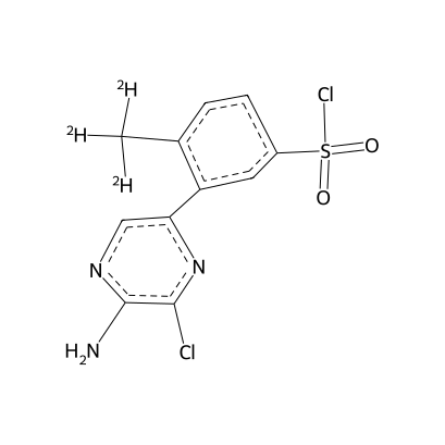 [2H]C([2H])([2H])c1ccc(S(=O)(=O)Cl)cc1-c1cnc(N)c(Cl)n1